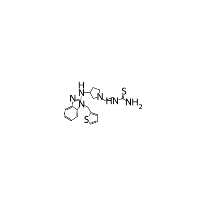 NC(=S)NCCN1CCC(Nc2nc3ccccc3n2Cc2cccs2)C1